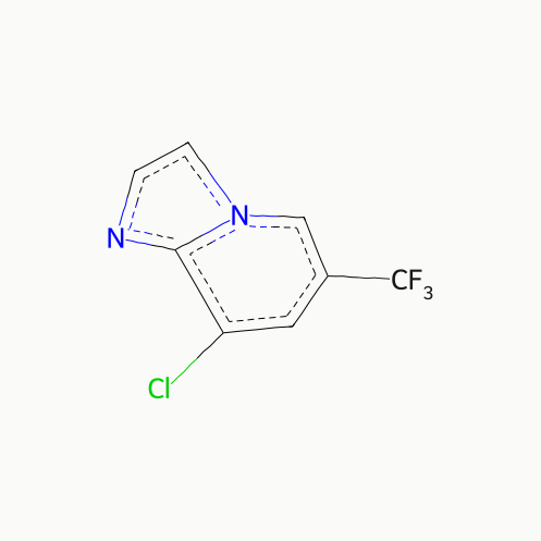 FC(F)(F)c1cc(Cl)c2nccn2c1